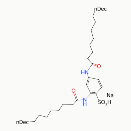 CCCCCCCCCCCCCCCCCC(=O)Nc1ccc(S(=O)(=O)O)c(NC(=O)CCCCCCCCCCCCCCCCC)c1.[Na]